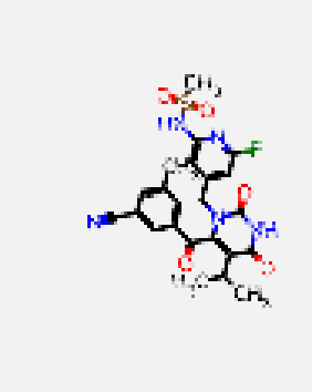 Cc1cc(C#N)cc(C(=O)c2c(C(C)C)c(=O)[nH]c(=O)n2Cc2cc(F)nc(NS(C)(=O)=O)c2)c1